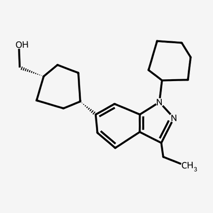 CCc1nn(C2CCCCC2)c2cc([C@H]3CC[C@@H](CO)CC3)ccc12